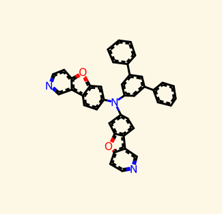 c1ccc(-c2cc(-c3ccccc3)cc(N(c3ccc4c(c3)oc3ccncc34)c3ccc4c(c3)oc3ccncc34)c2)cc1